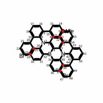 COc1cc2c3c(c1)N(c1c(-c4ccccc4)cccc1-c1ccccc1)c1cc(Br)ccc1B3c1ccc(Br)cc1N2c1c(-c2ccccc2)cccc1-c1ccccc1